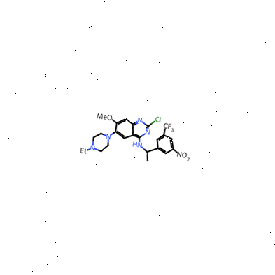 CCN1CCN(c2cc3c(N[C@H](C)c4cc([N+](=O)[O-])cc(C(F)(F)F)c4)nc(Cl)nc3cc2OC)CC1